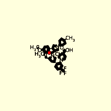 COC[C@@H]1C[C@@H](c2ccc(C(F)(F)F)cc2N2CCC(C(=O)O)CC2)CN1C(=O)[C@]1(C)CN([C@H]2CC[C@H](C)CC2)C[C@H]1c1ccc(OC)cc1